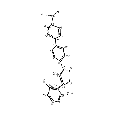 CN(C)c1ccc(-c2ccc(C3CCC(c4c(F)cccc4F)=N3)cc2)nn1